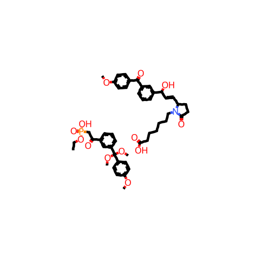 CCOP(=O)(O)CC(=O)c1cccc(C(OC)(OC)c2ccc(OC)cc2)c1.COc1ccc(C(=O)c2cccc(C(O)C=CC3CCC(=O)N3CCCCCCC(=O)O)c2)cc1